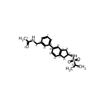 CC(=O)NCc1cccc(-c2ccc3c(c2)CC(NS(=O)(=O)C(C)C)C3)c1